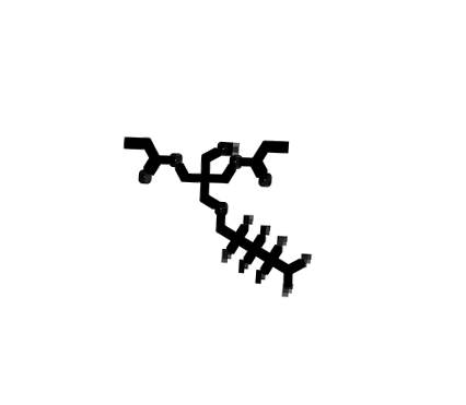 C=CC(=O)OCC(CO)(COCC(F)(F)C(F)(F)C(F)(F)C(F)F)COC(=O)C=C